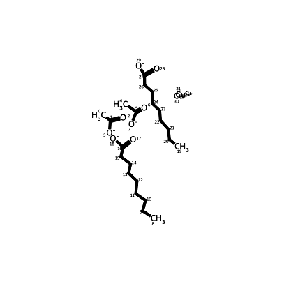 CC(=O)[O-].CC(=O)[O-].CCCCCCCCC(=O)[O-].CCCCCCCCC(=O)[O-].[Cu+2].[Cu+2]